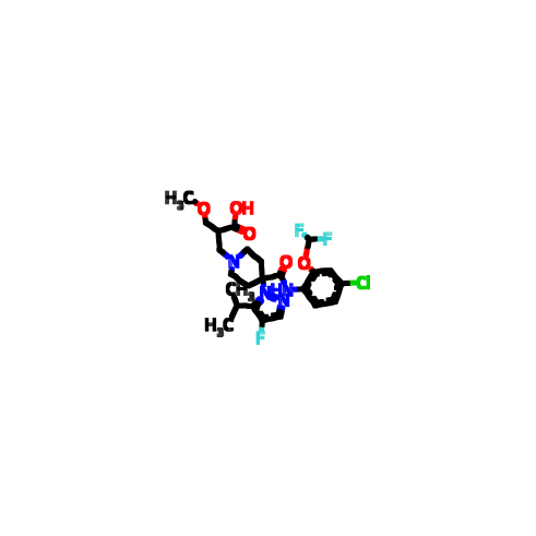 COCC(CN1CCC(C(=O)Nc2ccc(Cl)cc2OC(F)F)(n2ncc(F)c2C(C)C)CC1)C(=O)O